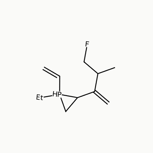 C=C[PH]1(CC)CC1C(=C)C(C)CF